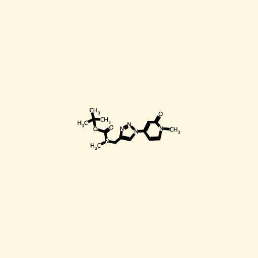 CN(Cc1cn(-c2ccn(C)c(=O)c2)nn1)C(=O)OC(C)(C)C